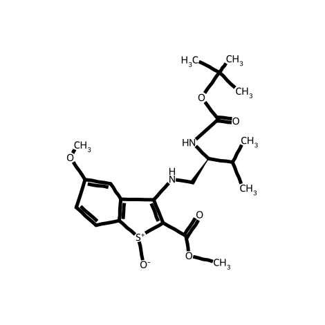 COC(=O)c1c(NC[C@@H](NC(=O)OC(C)(C)C)C(C)C)c2cc(OC)ccc2[s+]1[O-]